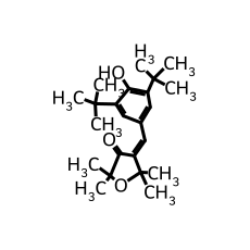 CC1(C)OC(C)(C)C(=Cc2cc(C(C)(C)C)c(O)c(C(C)(C)C)c2)C1=O